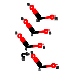 O=C[O-].O=C[O-].O=C[O-].O=C[O-].[C+4]